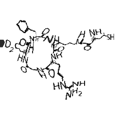 N=C(N)NCCC[C@@H]1NC(=O)[C@H](CCCCNC(=O)[C@H](N)CCS)NC(=O)[C@@H](Cc2ccccc2)NC(=O)[C@H](CC(=O)O)NC(=O)CNC1=O